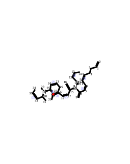 C=CCC/C=C\C=C/C(=C)N(B/C=C\C)C(=C)/C=C\C(=C/C)C/C=C\C(=N/C)N(C)C(C)/C=C\C